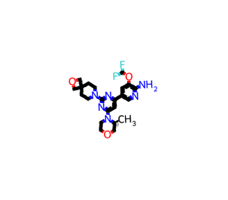 C[C@H]1COCCN1c1cc(-c2cnc(N)c(OC(F)F)c2)nc(N2CCC3(CC2)COC3)n1